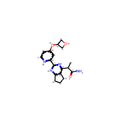 CC(C(N)=O)c1nc(-c2cc(OC3COC3)ccn2)nc2c1CCC2